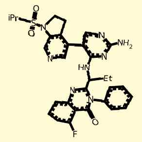 CCC(Nc1nc(N)ncc1-c1cncc2c1CCN2S(=O)(=O)C(C)C)c1nc2cccc(F)c2c(=O)n1-c1ccccc1